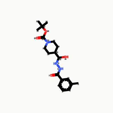 Cc1cccc(C(=O)NNC(O)C2CCN(C(=O)OC(C)(C)C)CC2)c1